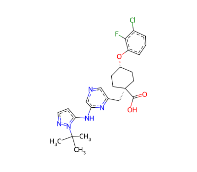 CC(C)(C)n1nccc1Nc1cncc(C[C@]2(C(=O)O)CC[C@H](Oc3cccc(Cl)c3F)CC2)n1